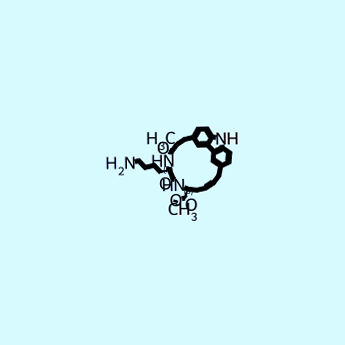 COC(=O)[C@@H]1CC=CCc2ccc3[nH]c4ccc(cc4c3c2)CC(C)C(=O)N[C@H](CCCCN)C(=O)N1